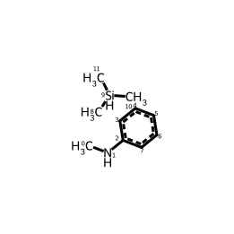 CNc1ccccc1.C[SiH](C)C